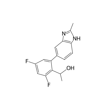 Cc1nc2cc(-c3cc(F)cc(F)c3C(C)O)ccc2[nH]1